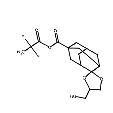 CC(F)(F)C(=O)OC(=O)C12CC3CC(C1)C1(OCC(CO)O1)C(C3)C2